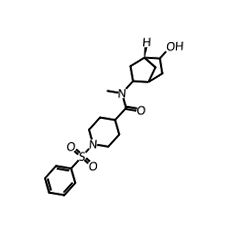 CN(C(=O)C1CCN(S(=O)(=O)c2ccccc2)CC1)C1C[C@H]2CC1CC2O